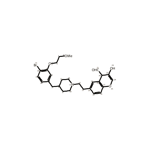 COCCOc1cc(CC2CCN(CCc3ccc4c(c3)C(C=O)C(O)=CO4)CC2)ccc1Br